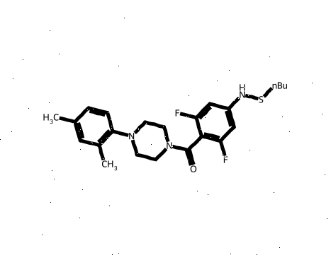 CCCCSNc1cc(F)c(C(=O)N2CCN(c3ccc(C)cc3C)CC2)c(F)c1